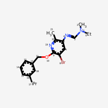 CCN(C)/C=N/c1cc(Br)c(OCc2cccc(C(C)C)c2)nc1C